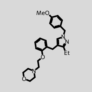 CCc1nn(Cc2ccc(OC)cc2)cc1Cc1ccccc1OCCN1CCOCC1